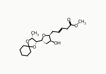 COC(=O)C/C=C/C[C@@H]1O[C@@H]([C@@H]2OC3(CCCCC3)O[C@@H]2C)C[C@@H]1O